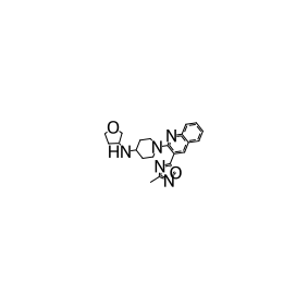 Cc1noc(-c2cc3ccccc3nc2N2CCC(NC3CCOC3)CC2)n1